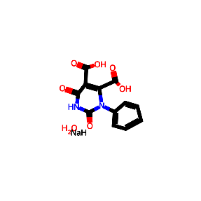 O.O=C(O)c1c(C(=O)O)n(-c2ccccc2)c(=O)[nH]c1=O.[NaH]